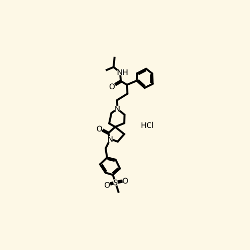 CC(C)NC(=O)C(CCN1CCC2(CC1)CCN(Cc1ccc(S(C)(=O)=O)cc1)C2=O)c1ccccc1.Cl